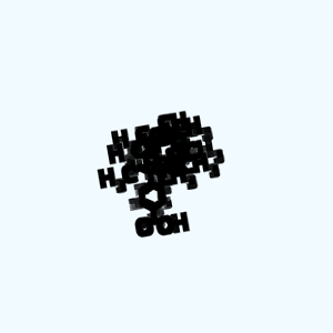 CCC(c1ccc(C(=O)O)cc1)[Si]1(C)O[Si](C)(C)O[Si](C)(C)O[Si](C)(C)O1